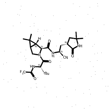 CC1(C)C[C@@H](C[C@@H](C#N)NC(=O)[C@@H]2[C@@H]3C(CN2C(=O)[C@@H](NC(=O)C(F)(F)F)C(C)(C)C)C3(C)C)C(=O)N1